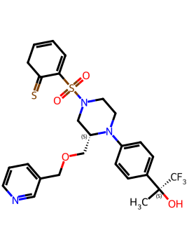 C[C@](O)(c1ccc(N2CCN(S(=O)(=O)C3=CC=CCC3=S)C[C@H]2COCc2cccnc2)cc1)C(F)(F)F